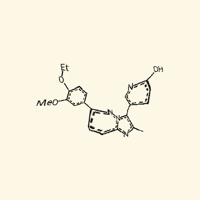 CCOc1ccc(-c2ccc3nc(C)c(-c4ccc(O)nc4)n3n2)cc1OC